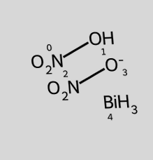 O=[N+]([O-])O.O=[N+]([O-])[O-].[BiH3]